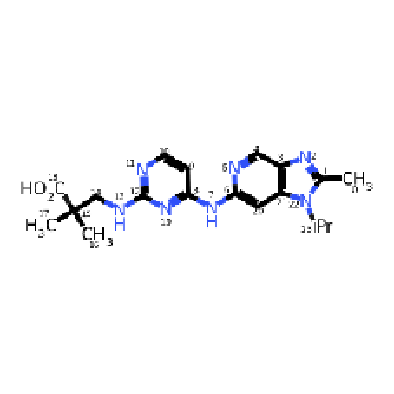 Cc1nc2cnc(Nc3ccnc(NCC(C)(C)C(=O)O)n3)cc2n1C(C)C